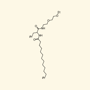 CCOCCOCCNC(=O)C(CC(C)C)NC(=O)CCCCCCCCCCCC(C)C